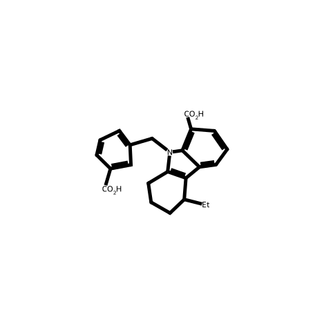 CCC1CCCc2c1c1cccc(C(=O)O)c1n2Cc1cccc(C(=O)O)c1